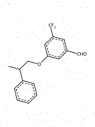 CC(COc1cc(C=O)cc(C(F)(F)F)c1)c1ccccc1